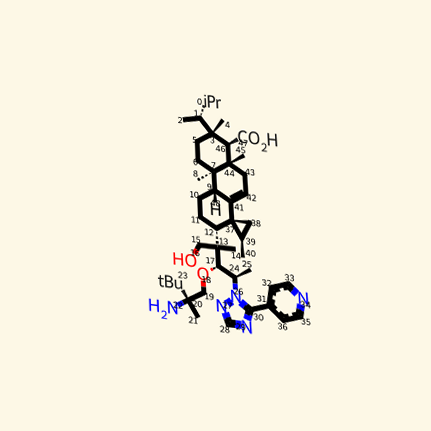 CC(C)[C@@H](C)[C@@]1(C)CC[C@]2(C)[C@H]3CC[C@@H](C(C)(CO)[C@@H](OC[C@](C)(N)C(C)(C)C)[C@@H](C)n4ncnc4-c4ccncc4)[C@]4(C[C@H]4C)C3=CC[C@@]2(C)[C@@H]1C(=O)O